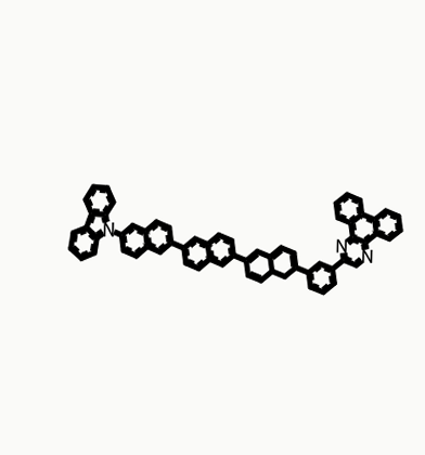 C1=CC2CC(c3cccc(-c4cnc5c6ccccc6c6ccccc6c5n4)c3)=CC=C2C=C1c1ccc2cc(-c3ccc4cc(-n5c6ccccc6c6ccccc65)ccc4c3)ccc2c1